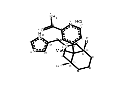 COC1(c2ccnc(C(N)=O)c2)[C@@H]2CCC[C@H]1CN(Cc1cnc[nH]1)C2.Cl